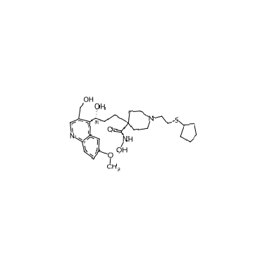 COc1ccc2ncc(CO)c([C@H](O)CCC3(C(=O)NO)CCN(CCSC4CCCC4)CC3)c2c1